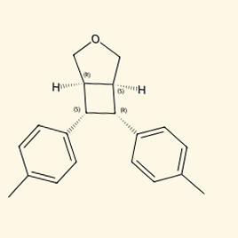 Cc1ccc([C@@H]2[C@H]3COC[C@H]3[C@@H]2c2ccc(C)cc2)cc1